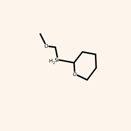 COC[SiH2]C1CCCCO1